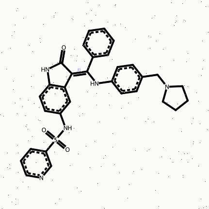 O=C1Nc2ccc(NS(=O)(=O)c3cccnc3)cc2/C1=C(\Nc1ccc(CN2CCCC2)cc1)c1ccccc1